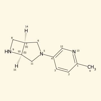 Cc1ccc(N2C[C@@H]3CN[C@@H]3C2)cn1